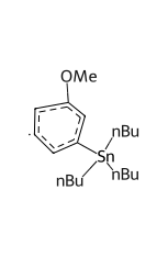 CCC[CH2][Sn]([CH2]CCC)([CH2]CCC)[c]1c[c]cc(OC)c1